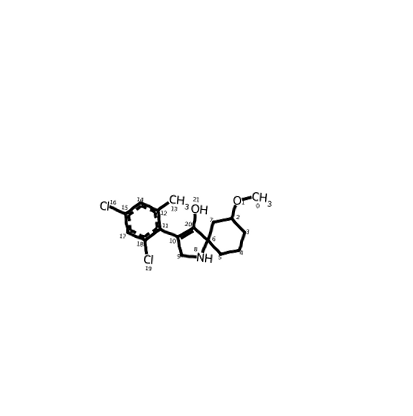 COC1CCCC2(C1)NCC(c1c(C)cc(Cl)cc1Cl)=C2O